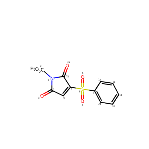 CCOC(=O)N1C(=O)C=C(S(=O)(=O)c2ccccc2)C1=O